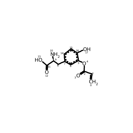 C=CC(=O)Oc1cc(C[C@H](N)C(=O)O)ccc1O